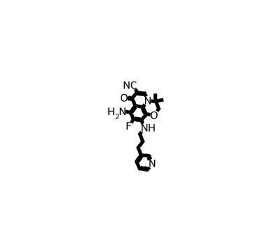 CC1(C)COc2c(NCCCc3cccnc3)c(F)c(N)c3c(=O)c(C#N)cn1c23